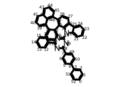 c1ccc(-c2ccc(-c3nc(-c4ccccc4)nc(-n4c5ccccc5c5ccc6c(c54)-c4ccccc4-c4cccc5cccc-6c45)n3)cc2)cc1